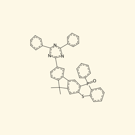 CC1(C)c2ccc(-c3nc(-c4ccccc4)nc(-c4ccccc4)n3)cc2-c2cc3c(cc21)Sc1ccccc1P3(=O)c1ccccc1